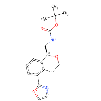 CC(C)(C)OC(=O)NC[C@H]1OCCc2c(-c3ncco3)cccc21